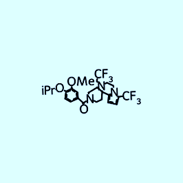 COc1cc(C(=O)N2CCC3(CC2)c2ccc(C(F)(F)F)n2CCN3CC(F)(F)F)ccc1OC(C)C